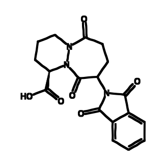 O=C(O)[C@H]1CCCN2C(=O)CCC(N3C(=O)c4ccccc4C3=O)C(=O)N12